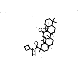 CC1(C(=O)NC2CCC2)CC[C@]2(C)CC[C@]3(C)C(=CC(=O)[C@@H]4[C@@]5(C)CCCC(C)(C)C5CC[C@]43C)[C@H]2C1